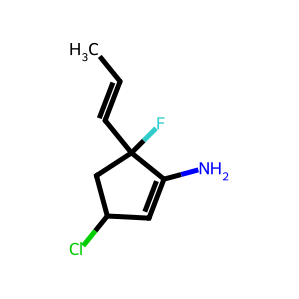 CC=CC1(F)CC(Cl)C=C1N